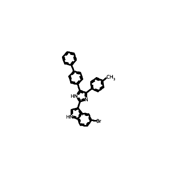 Cc1ccc(-c2nc(-c3c[nH]c4ccc(Br)cc34)[nH]c2-c2ccc(-c3ccccc3)cc2)cc1